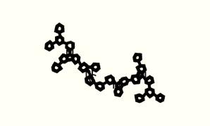 C1=CC(n2c3ccc(-c4ccccc4)cc3c3cc(-c4ccc5c(c4)c4ccccc4n5-c4cccc(-c5cccc(-c6cccc(-n7c8ccccc8c8cc(-c9ccc%10c(c9)c9cc(-c%11ccccc%11)ccc9n%10-c9cccc(-c%10cc(-c%11ccccc%11)cc(-c%11ccccc%11)c%10)c9)ccc87)c6)c5)c4)ccc32)=CC(c2cc(-c3ccccc3)cc(-c3ccccc3)c2)C1